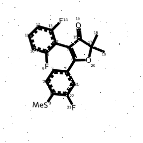 CSc1ccc(C2=C(c3c(F)cccc3F)C(=O)C(C)(C)O2)cc1F